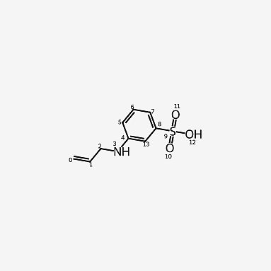 C=CCNc1cccc(S(=O)(=O)O)c1